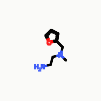 CN(CCN)Cc1ccco1